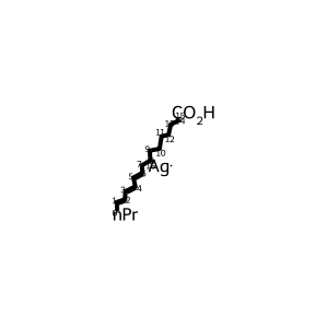 CCCC=CC=CC=CCCCCCCCCC(=O)O.[Ag]